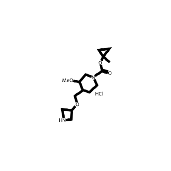 COC1CN(C(=O)OC2(C)CC2)CCC1COC1CNC1.Cl